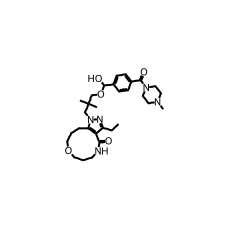 CCc1nn(CC(C)(C)COC(O)c2ccc(C(=O)N3CCN(C)CC3)cc2)c2c1C(=O)NCCCOCCC2